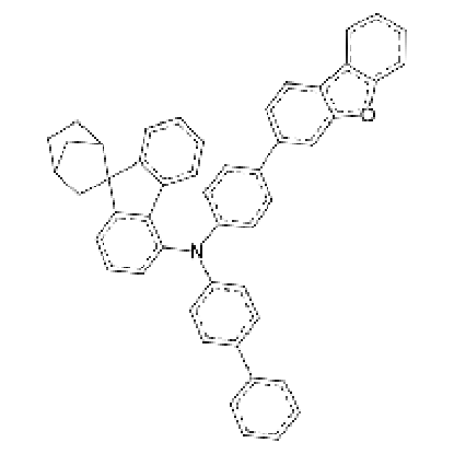 c1ccc(-c2ccc(N(c3ccc(-c4ccc5c(c4)oc4ccccc45)cc3)c3cccc4c3-c3ccccc3C43CC4CCC3C4)cc2)cc1